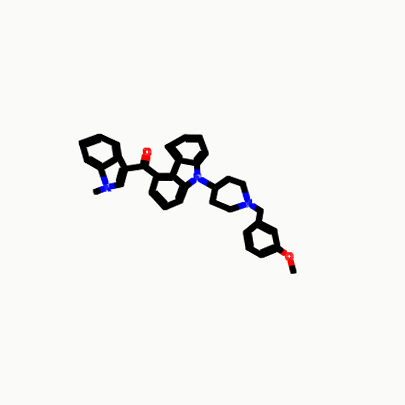 COc1cccc(CN2CCC(n3c4ccccc4c4c(C(=O)c5cn(C)c6ccccc56)cccc43)CC2)c1